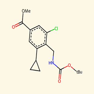 COC(=O)c1cc(Cl)c(CNC(=O)OC(C)(C)C)c(C2CC2)c1